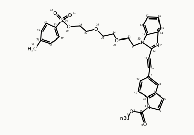 CCCCOC(=O)n1ccc2cc(C#Cc3nc4ccccc4n3CCOCCOCCOS(=O)(=O)c3ccc(C)cc3)ccc21